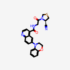 N#C[C@@H]1CSCN1C(=O)CNC(=O)c1ccnc2ccc(N3CCOc4ccccc43)cc12